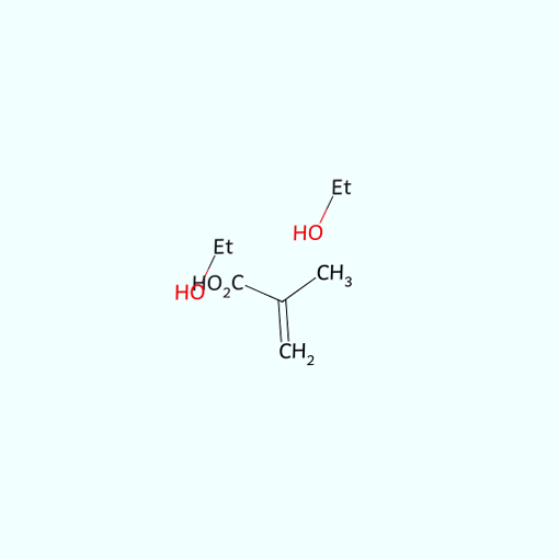 C=C(C)C(=O)O.CCO.CCO